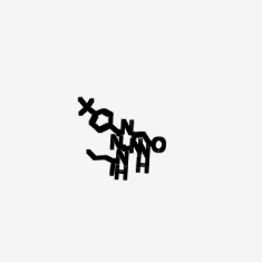 CCCC(C)Nc1nc(-c2ccc(C(C)(C)C)cc2)nc2cc(=O)[nH]n12